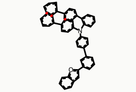 c1ccc(-c2ccc(-c3ccccc3N(c3ccc(-c4ccccc4)cc3)c3ccc(-c4cccc(-c5cc6ccccc6o5)c4)cc3)cc2)cc1